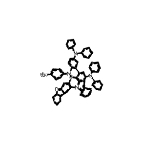 CC(C)(C)c1ccc(N2B3c4cc5oc6ccccc6c5cc4-n4c5ccccc5c5c(N(c6ccccc6)c6ccccc6)cc(c3c54)-c3cc(N(c4ccccc4)c4ccccc4)ccc32)cc1